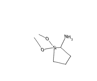 CO[Si]1(OC)CCCC1N